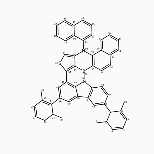 CC1=CC=CC(C)C1c1ccc2c(c1)c1cc(C3=C(C)C=CCC3C)cc3c1n2B1c2ccc4ccccc4c2N(c2cccc4ccccc24)c2csc-3c21